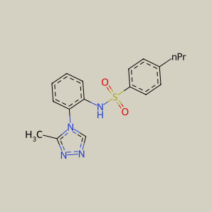 CCCc1ccc(S(=O)(=O)Nc2ccccc2-n2cnnc2C)cc1